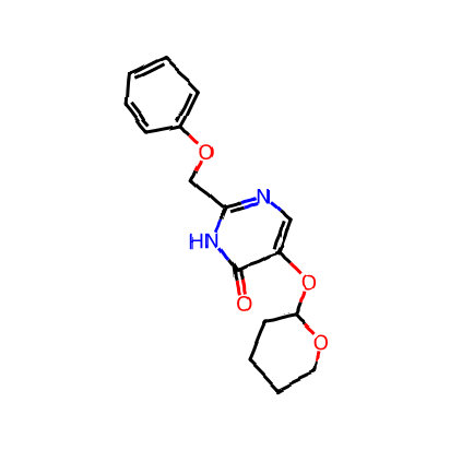 O=c1[nH]c(COc2ccccc2)ncc1OC1CCCCO1